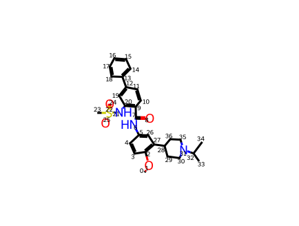 COc1ccc(NC(=O)c2ccc(-c3ccccc3)cc2NS(C)(=O)=O)cc1C1CCN(C(C)C)CC1